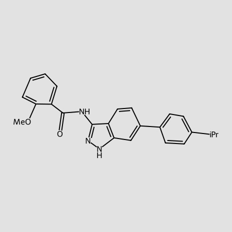 COc1ccccc1C(=O)Nc1n[nH]c2cc(-c3ccc(C(C)C)cc3)ccc12